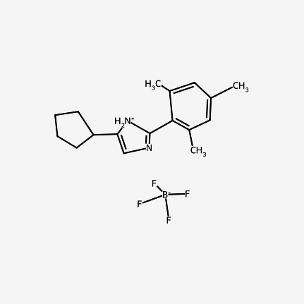 Cc1cc(C)c(C2=NC=C(C3CCCC3)[NH2+]2)c(C)c1.F[B-](F)(F)F